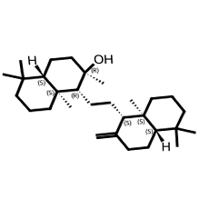 C=C1CC[C@H]2C(C)(C)CCC[C@]2(C)[C@H]1CC[C@@H]1[C@@]2(C)CCCC(C)(C)[C@@H]2CC[C@@]1(C)O